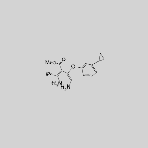 COC(=O)C(/C(=C\N)Oc1cccc(C2CC2)c1)=C(/N)C(C)C